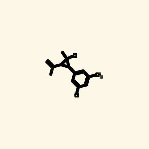 C=C(C)C1C(c2cc(Cl)cc(C(F)(F)F)c2)C1(C)Cl